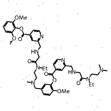 CCN(CCN(C)C)C(=O)CNCc1cc(C(=O)Oc2cc(CN(C)CCN(CC)C(=O)CNCc3cc(C(=O)Oc4c(OC)cccc4OI)ccn3)ccc2OC)ccn1